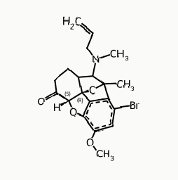 C=CCN(C)C1C2CCC(=O)[C@H]3Oc4c(OC)cc(Br)c5c4[C@@]23CC51C